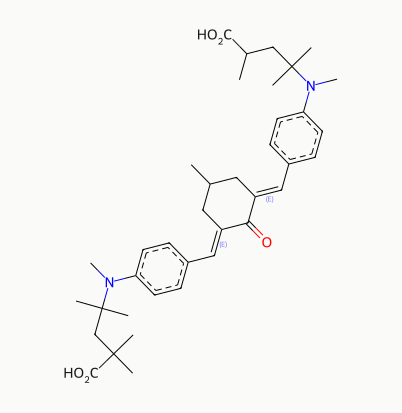 CC1C/C(=C\c2ccc(N(C)C(C)(C)CC(C)C(=O)O)cc2)C(=O)/C(=C/c2ccc(N(C)C(C)(C)CC(C)(C)C(=O)O)cc2)C1